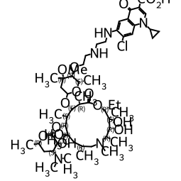 CC[C@H]1OC(=O)[C@H](C)[C@@H](OC2C[C@@](C)(OC)[C@@H](OCCNCCNc3cc4c(=O)c(C(=O)O)cn(C5CC5)c4cc3Cl)[C@H](C)O2)[C@H](C)[C@@H](O[C@@H]2O[C@H](C)C[C@H](N(C)C)[C@H]2O)[C@](C)(O)C[C@@H](C)CN(C)[C@H](C)[C@@H](O)[C@]1(C)O